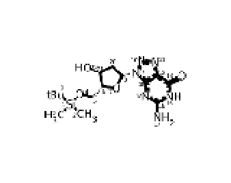 CC(C)(C)[Si](C)(C)OC[C@H]1O[C@@H](n2nnc3c(=O)[nH]c(N)nc32)C[C@@H]1O